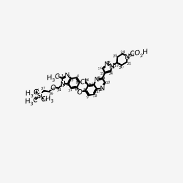 Cc1nc2ccc(Oc3ccc4ncc(-c5cnn(C6CCN(C(=O)O)CC6)c5)nc4c3Cl)cc2n1COCC[Si](C)(C)C